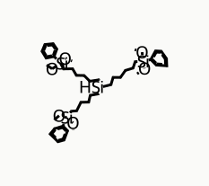 CO[Si](CCCCCC[SiH](CCCCCC[Si](OC)(OC)c1ccccc1)CCCCCC[Si](OC)(OC)c1ccccc1)(OC)c1ccccc1